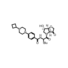 CC(C)(C)C(NC(=O)c1ccc(N2CCN(C3CCC3)CC2)cc1)C(=O)N1C[C@H](O)[C@H]2OCC(=O)[C@H]21